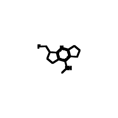 CNc1c2c(nc3c1CCC3CF)CCC2